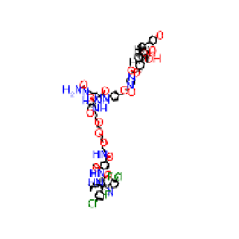 COc1cc(C(=O)NCCOCCOCCOCCC(=O)N[C@H](C(=O)N[C@@H](CCCNC(N)=O)C(=O)Nc2ccc(COC(=O)N3CCN(C(=O)O[C@H]4CC[C@@]5(C)[C@H](CC[C@@H]6[C@@H]5[C@H](O)C(=O)[C@]5(C)C(C7=CCC(=O)C=C7)CC[C@]65O)C4)CC3)cc2)C(C)C)ccc1NC(=O)[C@@H]1N[C@@H](CC(C)(C)C)[C@](C#N)(c2ccc(Cl)cc2F)[C@H]1c1cccc(Cl)c1F